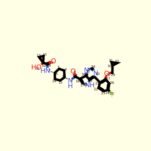 O=C(N[C@H]1CC[C@@H](NC(=O)C2(O)CC2)CC1)c1c[nH]c2c(-c3ccc(F)cc3OCC3CC3)ncnc12